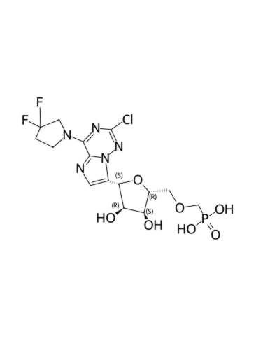 O=P(O)(O)COC[C@H]1O[C@@H](c2cnc3c(N4CCC(F)(F)C4)nc(Cl)nn23)[C@H](O)[C@@H]1O